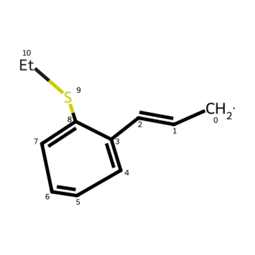 [CH2]C=Cc1ccccc1SCC